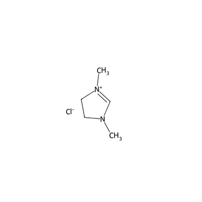 CN1C=[N+](C)CC1.[Cl-]